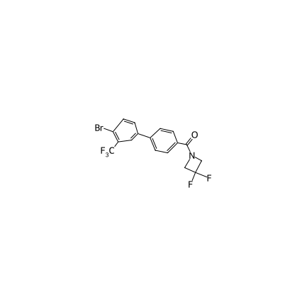 O=C(c1ccc(-c2ccc(Br)c(C(F)(F)F)c2)cc1)N1CC(F)(F)C1